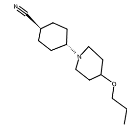 CCCOC1CCN([C@H]2CC[C@H](C#N)CC2)CC1